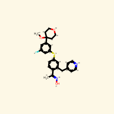 COC1(c2cc(F)cc(Sc3ccc(/C(C)=N/O)c(Cc4ccncc4)c3)c2)CCOCC1